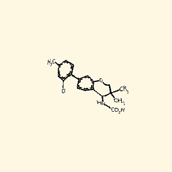 Cc1ccc(-c2ccc3c(c2)OCC(C)(C)C3NC(=O)O)c(Cl)c1